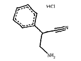 Cl.N#CC(CN)c1ccccc1